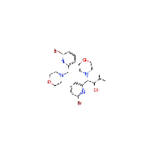 Brc1cccc(CN2CCOCC2)n1.CC(C)C(O)C(c1cccc(Br)n1)N1CCOCC1